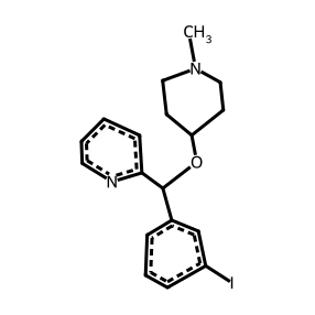 CN1CCC(OC(c2cccc(I)c2)c2ccccn2)CC1